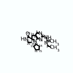 C/C=N\N(C)Nc1ncc2c(n1)N(C1CCCC1)[C@]1(CCNC1=O)C2